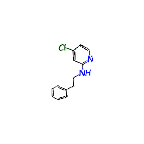 Clc1ccnc(NCCc2ccccc2)c1